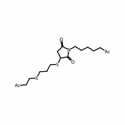 CC(=O)CCCCCN1C(=O)CC(SCCCSCCC(C)=O)C1=O